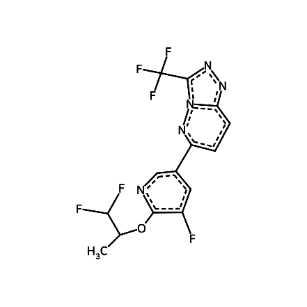 CC(Oc1ncc(-c2ccc3nnc(C(F)(F)F)n3n2)cc1F)C(F)F